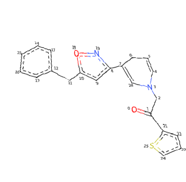 O=C(CN1C=CCC(c2cc(Cc3ccccc3)on2)=C1)c1cccs1